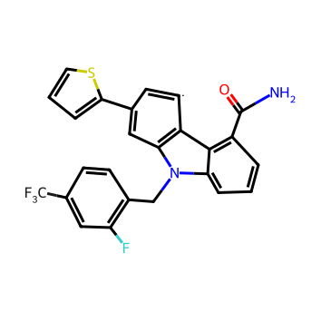 NC(=O)c1cccc2c1c1[c]cc(-c3cccs3)cc1n2Cc1ccc(C(F)(F)F)cc1F